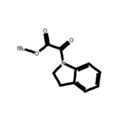 CC(C)(C)OC(=O)C(=O)N1CCc2ccccc21